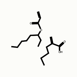 C=C(CCCC)C(=O)O.C=CC(=O)OC(CC)CCCCC